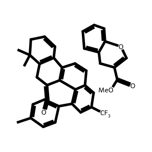 COC(=O)C1=COc2ccccc2C1.Cc1ccc(-c2cc(C(F)(F)F)cc3ccc4c(c23)C(=C=O)CC2=C4C=CCC2(C)C)cc1